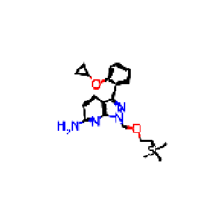 C[Si](C)(C)CCOCn1nc(-c2ccccc2OC2CC2)c2ccc(N)nc21